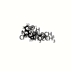 [2H]C([2H])(NC(=O)OC(C)(C)C)C1(Nc2nc(Cl)nc3c2[S@+]([O-])CC3)CCC1